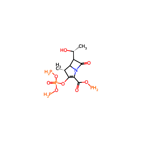 C[C@@H](O)C1C(=O)N2C(C(=O)OP)=C(OP(=O)(OP)OP)[C@H](C)C12